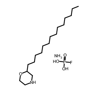 CCCCCCCCCCCCCCC1CNCCO1.N.O=P(O)(O)F